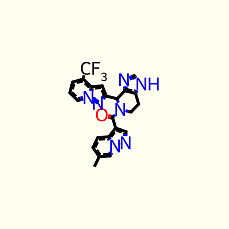 Cc1ccc2c(C(=O)N3CCc4[nH]cnc4C3c3cc4c(C(F)(F)F)cccn4n3)cnn2c1